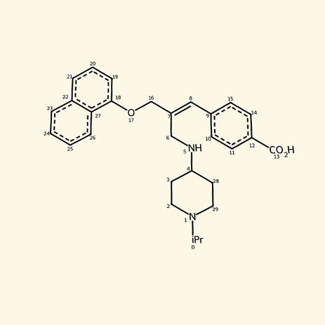 CC(C)N1CCC(NC/C(=C\c2ccc(C(=O)O)cc2)COc2cccc3ccccc23)CC1